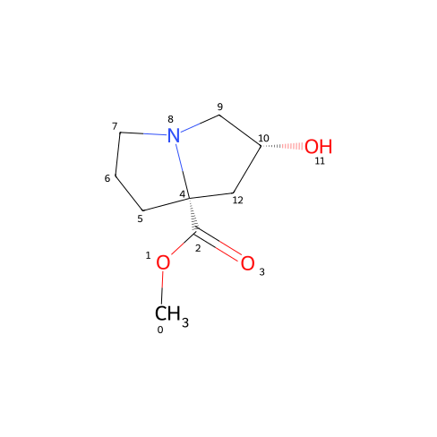 COC(=O)[C@]12CCCN1C[C@H](O)C2